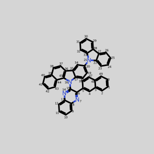 c1ccc2cc(-c3nc4ccccc4nc3-n3c4ccc(-n5c6ccccc6c6ccccc65)cc4c4ccc5ccccc5c43)ccc2c1